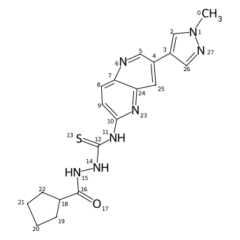 Cn1cc(-c2cnc3ccc(NC(=S)NNC(=O)C4CCCC4)nc3c2)cn1